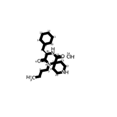 CCCCN1C(=O)[C@@H](CC2CCCCC2)NC(=O)C12CCNCC2.Cl